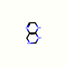 [CH]1NCC2=C(N1)NCC=N2